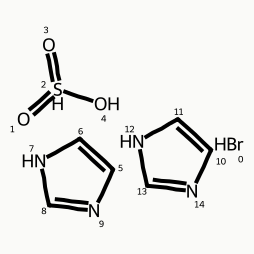 Br.O=[SH](=O)O.c1c[nH]cn1.c1c[nH]cn1